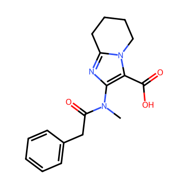 CN(C(=O)Cc1ccccc1)c1nc2n(c1C(=O)O)CCCC2